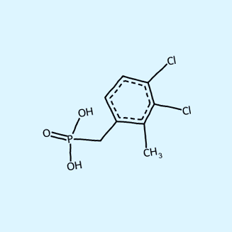 Cc1c(CP(=O)(O)O)ccc(Cl)c1Cl